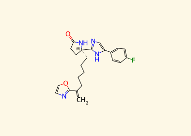 C=C(CCCCC[C@]1(c2ncc(-c3ccc(F)cc3)[nH]2)CCC(=O)N1)c1ncco1